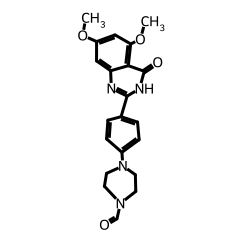 COc1cc(OC)c2c(=O)[nH]c(-c3ccc(N4CCN(C=O)CC4)cc3)nc2c1